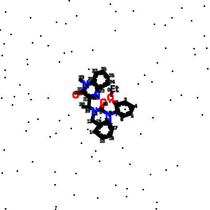 CCOc1ccccc1NC(=O)N(Cc1ccccc1)C(C)c1nc2ccccc2n(C)c1=O